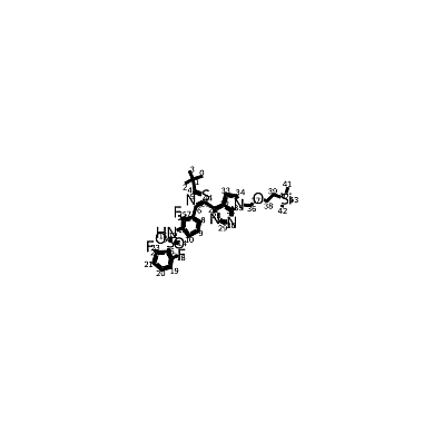 CC(C)(C)c1nc(-c2cccc(NS(=O)(=O)c3c(F)cccc3F)c2F)c(-c2ncnc3c2ccn3COCC[Si](C)(C)C)s1